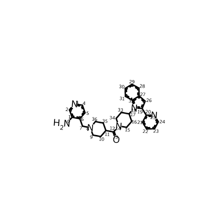 Nc1cnccc1CN1CCC(C(=O)N2CCC(n3c(-c4ccccn4)cc4ccccc43)CC2)CC1